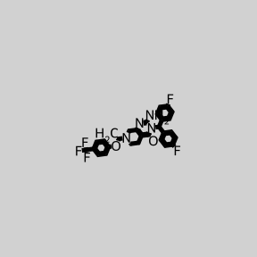 C=C(Oc1ccc(C(F)(F)F)cc1)N1CCc2c(nc(N)n(C(c3ccc(F)cc3)c3ccc(F)cc3)c2=O)C1